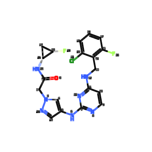 O=C(Cn1cc(Nc2nccc(NCc3c(F)cccc3Cl)n2)cn1)N[C@@H]1C[C@@H]1F